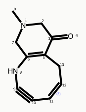 CN1CC(=O)C2=C(C1)NC#C/C=C\C2